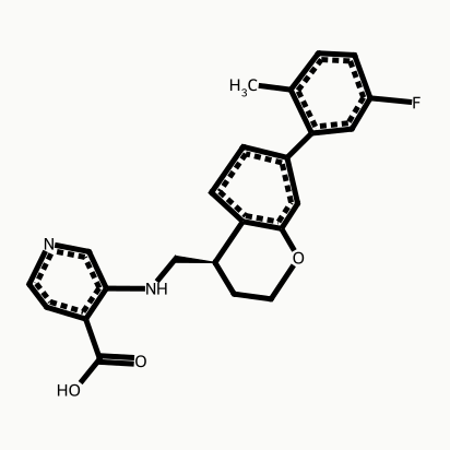 Cc1ccc(F)cc1-c1ccc2c(c1)OCC[C@H]2CNc1cnccc1C(=O)O